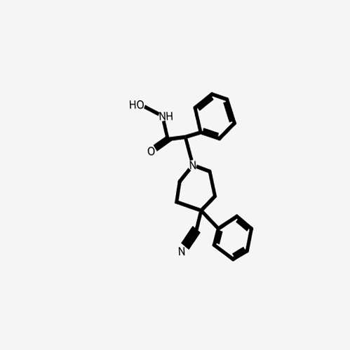 N#CC1(c2ccccc2)CCN(C(C(=O)NO)c2ccccc2)CC1